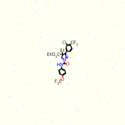 CCOC(=O)C1(CC)CN(C(=O)Nc2ccc(OC(F)(F)F)cc2)N=C1c1ccc(C(F)(F)F)c(Cl)c1